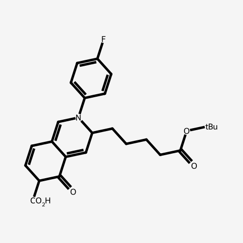 CC(C)(C)OC(=O)CCCCC1C=C2C(=O)C(C(=O)O)C=CC2=CN1c1ccc(F)cc1